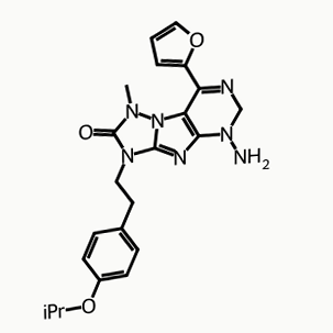 CC(C)Oc1ccc(CCn2c(=O)n(C)n3c4c(nc23)N(N)CN=C4c2ccco2)cc1